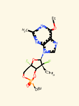 CCOc1nc(C)nc2c1ncn2[C@@H]1O[C@]2(F)COP(=O)(OCC(C)C)OC2[C@@]1(C)F